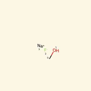 CO.[F-].[Na+]